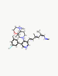 C=N\C=C(C#N)/C=C(C)/C=C/c1cncc(-c2cc(C)cc(F)c2)c1N1CC[C@@H]2NCCO[C@H]2C1